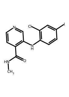 CNC(=O)c1ccncc1Nc1ccc(I)cc1Cl